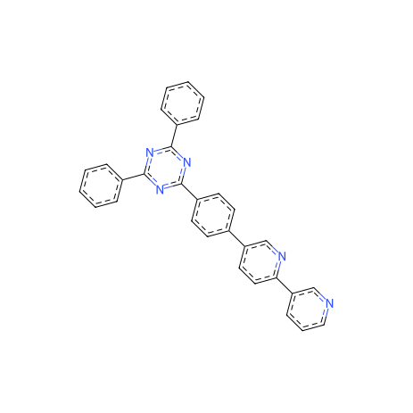 c1ccc(-c2nc(-c3ccccc3)nc(-c3ccc(-c4ccc(-c5cccnc5)nc4)cc3)n2)cc1